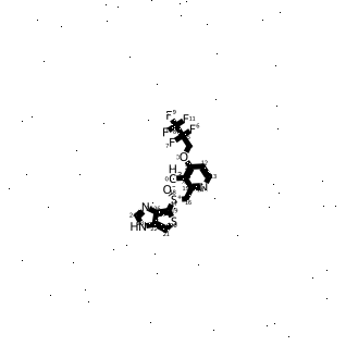 Cc1c(OCC(F)(F)C(F)(F)F)ccnc1C[S+]([O-])c1scc2[nH]cnc12